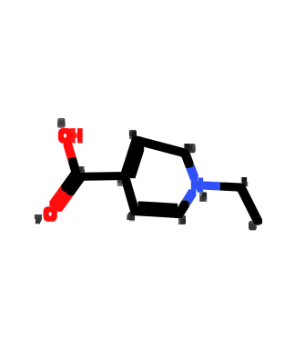 CCN1C=CC(C(=O)O)=CC1